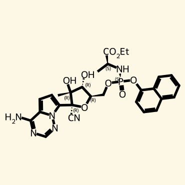 CCOC(=O)[C@H](C)N[P@](=O)(OC[C@H]1O[C@@](C#N)(c2ccc3c(N)ncnn23)[C@](C)(O)[C@@H]1O)Oc1cccc2ccccc12